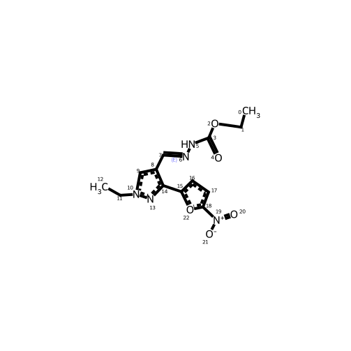 CCOC(=O)N/N=C/c1cn(CC)nc1-c1ccc([N+](=O)[O-])o1